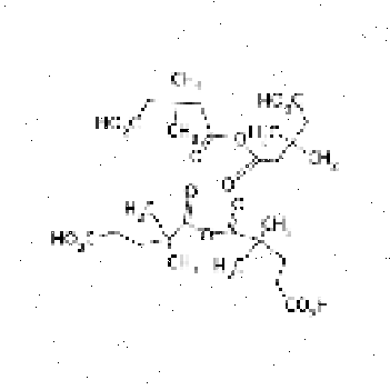 CC(C)(CC(=O)O)CC(=O)OC(=O)CC(C)(C)CC(=O)O.CC(C)(CCC(=O)O)C(=O)OC(=O)C(C)(C)CCC(=O)O